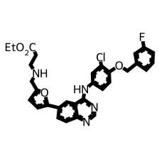 CCOC(=O)CCNCc1ccc(-c2ccc3ncnc(Nc4ccc(OCc5cccc(F)c5)c(Cl)c4)c3c2)o1